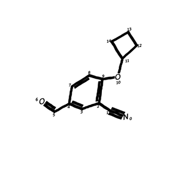 N#Cc1cc(C=O)ccc1OC1CCC1